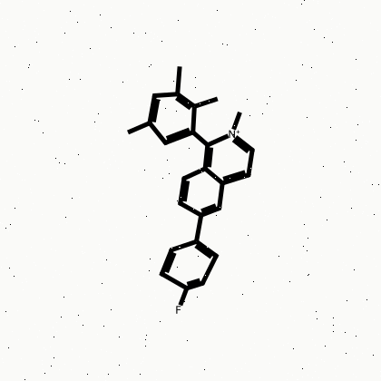 Cc1cc(C)c(C)c(-c2c3ccc(-c4ccc(F)cc4)cc3cc[n+]2C)c1